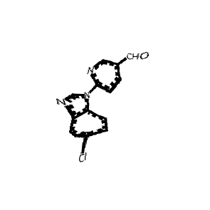 O=Cc1ccc(-n2cnc3cc(Cl)ccc32)nc1